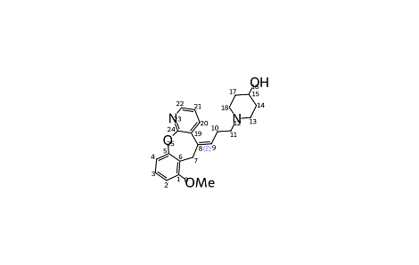 COc1cccc2c1C/C(=C/CCN1CCC(O)CC1)c1cccnc1O2